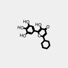 O=c1cc(C2CCCCC2)oc(-c2cc(O)c(O)c(O)c2)c1O